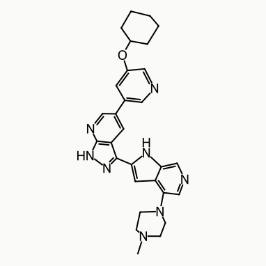 CN1CCN(c2cncc3[nH]c(-c4n[nH]c5ncc(-c6cncc(OC7CCCCC7)c6)cc45)cc23)CC1